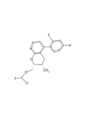 C[C@H]1Cc2c(-c3ccc(F)cc3F)ccnc2O[C@H]1COC(F)F